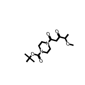 COC(C)C(=O)CC(=O)N1CCN(C(=O)OC(C)(C)C)CC1